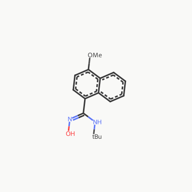 COc1ccc(/C(=N/O)NC(C)(C)C)c2ccccc12